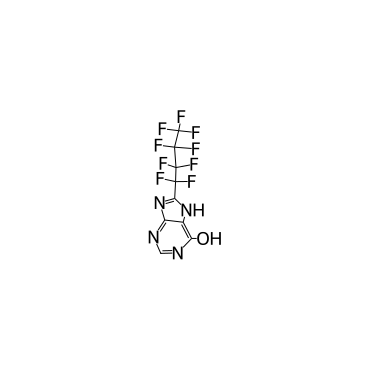 Oc1ncnc2nc(C(F)(F)C(F)(F)C(F)(F)C(F)(F)F)[nH]c12